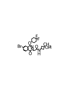 CC1(O)CC(NC(=O)Cn2nc(OC3CCC(F)(F)CC3)c3cc(Br)ccc3c2=O)C1